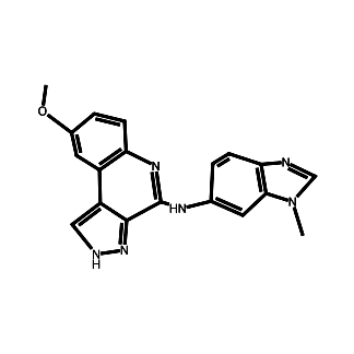 COc1ccc2nc(Nc3ccc4ncn(C)c4c3)c3n[nH]cc3c2c1